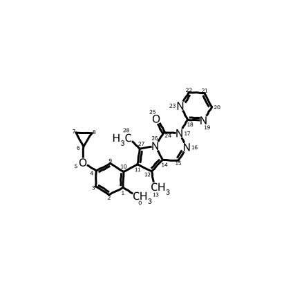 Cc1ccc(OC2CC2)cc1-c1c(C)c2cnn(-c3ncccn3)c(=O)n2c1C